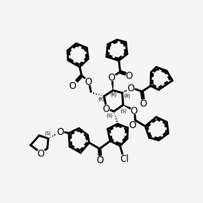 O=C(OC[C@H]1O[C@@H](c2ccc(Cl)c(C(=O)c3ccc(O[C@H]4CCOC4)cc3)c2)[C@H](OC(=O)c2ccccc2)[C@@H](OC(=O)c2ccccc2)[C@@H]1OC(=O)c1ccccc1)c1ccccc1